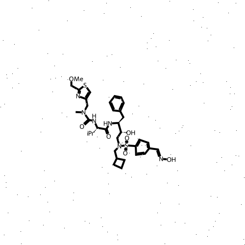 COCc1nc(CN(C)C(=O)N[C@H](C(=O)N[C@@H](Cc2ccccc2)[C@H](O)CN(CC2CCC2)S(=O)(=O)c2ccc(C=NO)cc2)C(C)C)cs1